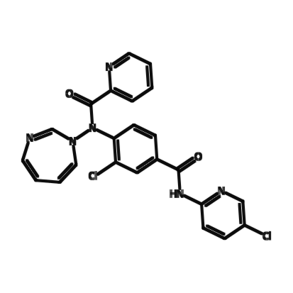 O=C(Nc1ccc(Cl)cn1)c1ccc(N(C(=O)c2ccccn2)N2C=CC=CN=C2)c(Cl)c1